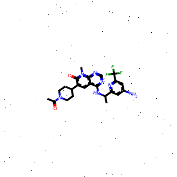 CC(=O)N1CCC(c2cc3c(NC(C)c4cc(N)cc(C(F)(F)F)n4)ncnc3n(C)c2=O)CC1